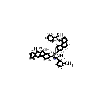 CC1C=CC=C(/C(N)=C/C(NCc2ccc3c(ccc4cccc(NC(S)c5ccccc5)c43)c2)c2ccc3c(c2)C(C)(C)c2cc4ccccc4cc2-3)C1